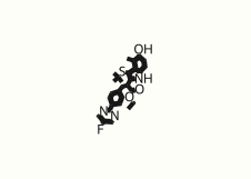 CCOC(=O)C(Cc1ccc(-c2ncc(F)cn2)cc1)c1[nH]c2ccc(O)c(C)c2c1SC(C)(C)C